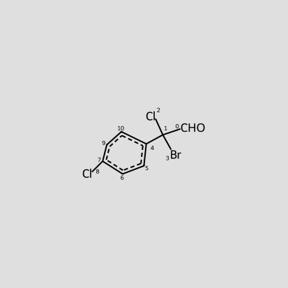 O=CC(Cl)(Br)c1ccc(Cl)cc1